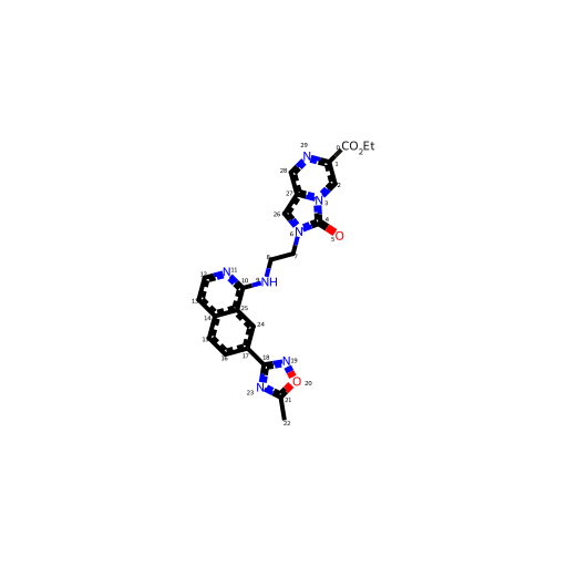 CCOC(=O)c1cn2c(=O)n(CCNc3nccc4ccc(-c5noc(C)n5)cc34)cc2cn1